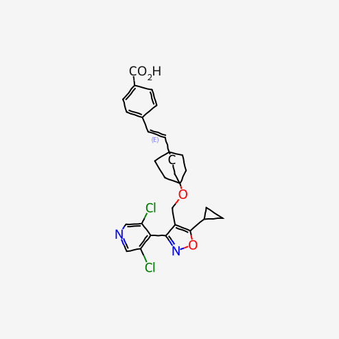 O=C(O)c1ccc(/C=C/C23CCC(OCc4c(-c5c(Cl)cncc5Cl)noc4C4CC4)(CC2)CC3)cc1